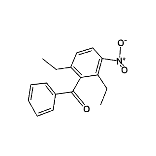 CCc1ccc([N+](=O)[O-])c(CC)c1C(=O)c1ccccc1